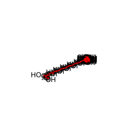 O=C(CCCNOc1ccc(-c2c3ccc(=O)cc-3oc3cc(O)ccc23)c(C(=O)O)c1)NCCCC(=O)NCCCC(=O)NCCCC(=O)NCCCC(=O)NCCCC(=O)NCCCC(=O)NCCCC(=O)NCCCC(=O)NCCCC(=O)OC(O)C(C(O)O)[C@H](C(C(O)O)C(O)O)C(C(C(C(O)O)C(O)O)C(C(O)O)C(O)O)(C(C(C(O)O)C(O)O)C(C(O)O)C(O)O)C(C(C(O)O)C(O)O)C(C(O)O)C(O)O